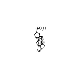 CC(=O)[C@H]1CC[C@H]2[C@@H]3CC=C4CC(OS(=O)(=O)O)CC[C@]4(C)[C@H]3CC[C@]12C